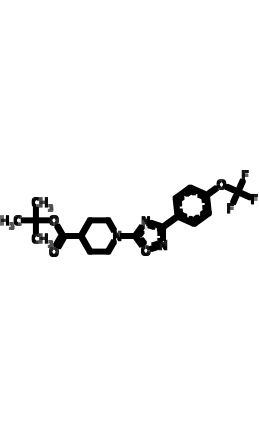 CC(C)(C)OC(=O)C1CCN(c2nc(-c3ccc(OC(F)(F)F)cc3)no2)CC1